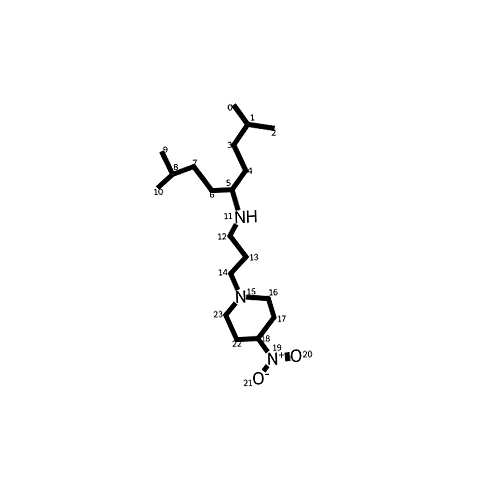 CC(C)CCC(CCC(C)C)NCCCN1CCC([N+](=O)[O-])CC1